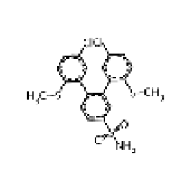 CSc1ccc(Cl)cc1-c1ccc(S(N)(=O)=O)cc1-c1cc(Cl)ccc1SC